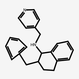 c1ccc(CC2CCc3ccccc3C2NCc2ccncc2)cc1